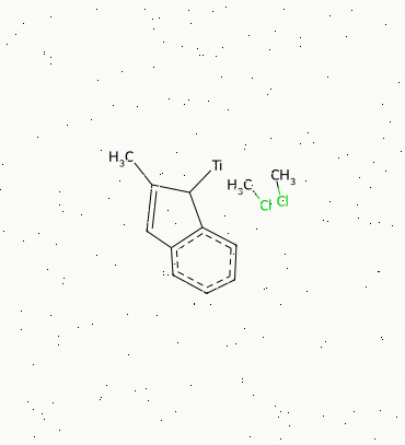 CC1=Cc2ccccc2[CH]1[Ti].CCl.CCl